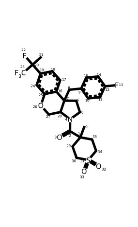 CC1(C(=O)N2CCC3(Cc4ccc(F)cc4)c4ccc(C(C)(F)C(F)(F)F)cc4OCC23)CCS(=O)(=O)CC1